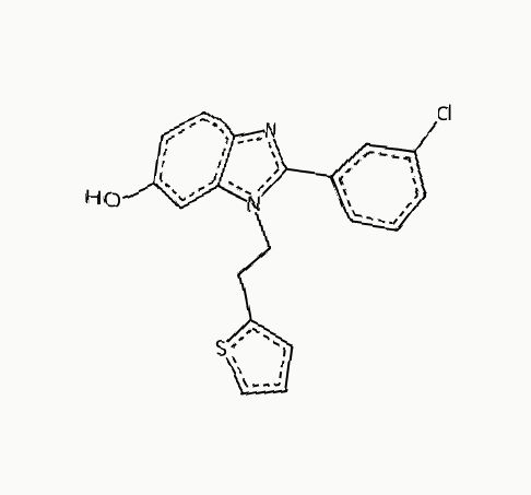 Oc1ccc2nc(-c3cccc(Cl)c3)n(CCc3cccs3)c2c1